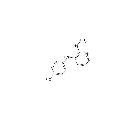 NNc1nnccc1Nc1ccc(C(F)(F)F)cc1